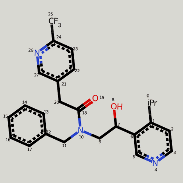 CC(C)c1ccncc1C(O)CN(Cc1ccccc1)C(=O)Cc1ccc(C(F)(F)F)nc1